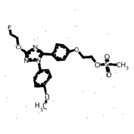 COc1ccc(-n2nc(OCCF)nc2-c2ccc(OCCOS(C)(=O)=O)cc2)cc1